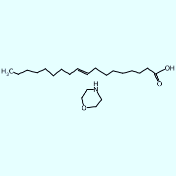 C1COCCN1.CCCCCCCC/C=C/CCCCCCCC(=O)O